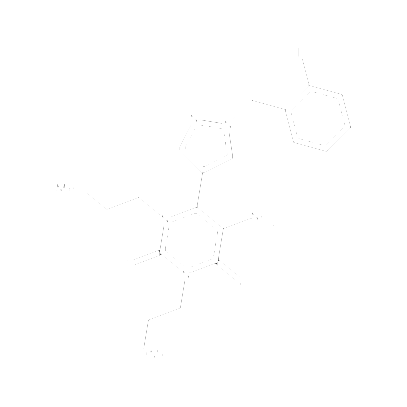 COCCn1c(-c2cnn(Cc3ccccc3F)c2)c([N+](=O)[O-])c(=O)n(CCOC)c1=O